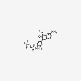 CC[C@H](C)n1c(=O)c(-c2ccc(NS(=O)(=O)CCC(F)(F)F)c(F)c2)cc2cnc(N)nc21